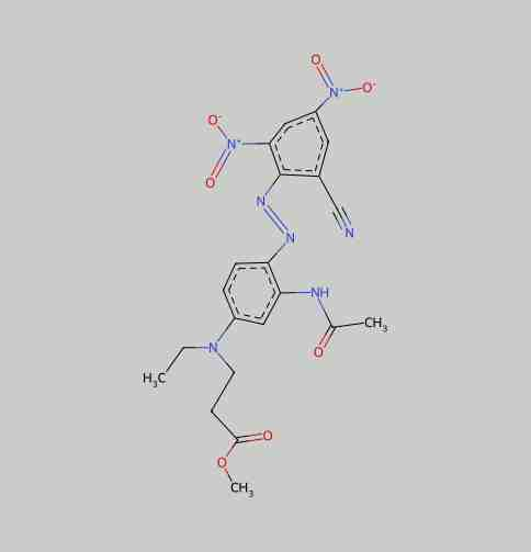 CCN(CCC(=O)OC)c1ccc(/N=N/c2c(C#N)cc([N+](=O)[O-])cc2[N+](=O)[O-])c(NC(C)=O)c1